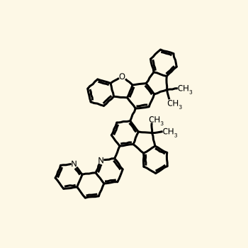 CC1(C)c2ccccc2-c2c1cc(-c1ccc(-c3ccc4ccc5cccnc5c4n3)c3c1C(C)(C)c1ccccc1-3)c1c2oc2ccccc21